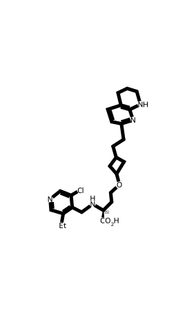 CCc1cncc(Cl)c1CN[C@@H](CCOC1CC(CCc2ccc3c(n2)NCCC3)C1)C(=O)O